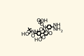 COc1ccc(-c2ccc(C(=O)NC(CO)C(C)(C)C)cc2C(=O)O)c(C(=O)N(C)c2ccc(C(=N)N)cc2)n1.CS(=O)(=O)O